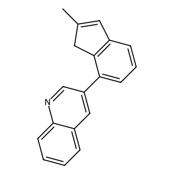 CC1=Cc2cccc(-c3cnc4ccccc4c3)c2C1